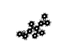 c1ccc(N(c2ccccc2)c2cc(-c3ccc4c(c3)c3ccccc3n4-c3ccccc3)cc(N(c3ccccc3)c3ccc(-c4cccc5c4oc4ccccc45)cc3)c2)cc1